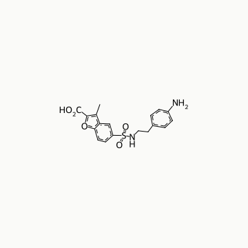 Cc1c(C(=O)O)oc2ccc(S(=O)(=O)NCCc3ccc(N)cc3)cc12